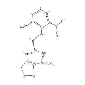 COc1ccnc(C(F)F)c1CSc1nc2c(c(=O)[nH]1)CCC2